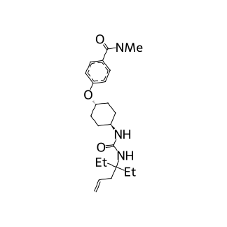 C=CCC(CC)(CC)NC(=O)N[C@H]1CC[C@H](Oc2ccc(C(=O)NC)cc2)CC1